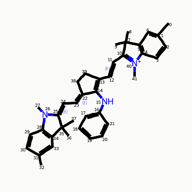 Cc1ccc2c(c1)C(C)(C)C(/C=C/C1=C(Nc3ccccc3)C(=C/C=C3/N(C)c4ccc(C)cc4C3(C)C)/CC1)=[N+]2C